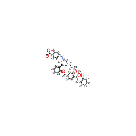 O=C(O)c1ccc(CN(CCCCCOCO)CCc2ccccc2OCc2ccc(CCc3ccccc3)cc2)cc1